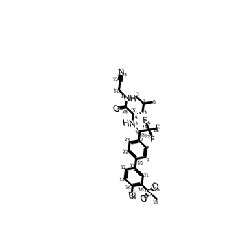 CC(C)C[C@H](N[C@@H](c1ccc(-c2ccc(Br)c(S(C)(=O)=O)c2)cc1)C(F)(F)F)C(=O)NCC#N